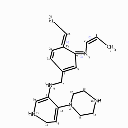 C\C=C/N=C1/C=C(CNC2=CNCC=C2N2CCNCC2)C=C/C1=C\CC